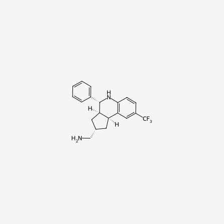 NC[C@@H]1C[C@@H]2[C@H](C1)c1cc(C(F)(F)F)ccc1N[C@H]2c1ccccc1